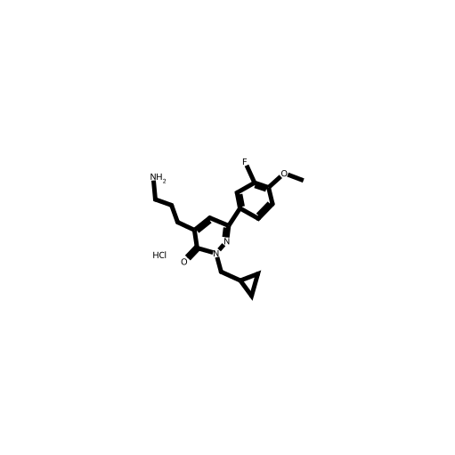 COc1ccc(-c2cc(CCCN)c(=O)n(CC3CC3)n2)cc1F.Cl